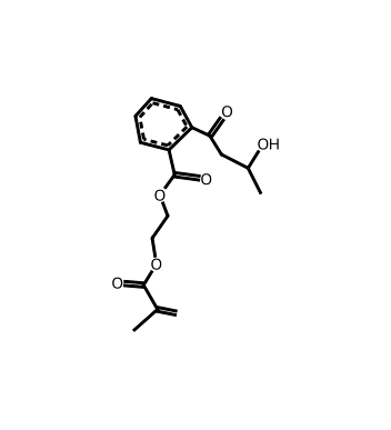 C=C(C)C(=O)OCCOC(=O)c1ccccc1C(=O)CC(C)O